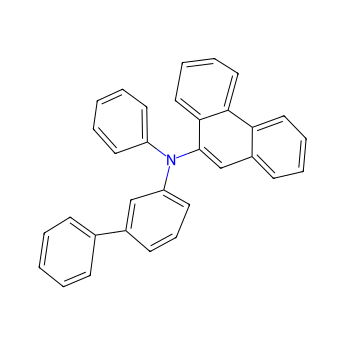 c1ccc(-c2cccc(N(c3ccccc3)c3cc4ccccc4c4ccccc34)c2)cc1